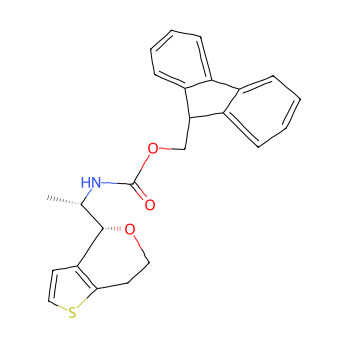 C[C@H](NC(=O)OCC1c2ccccc2-c2ccccc21)[C@@H]1OCCc2sccc21